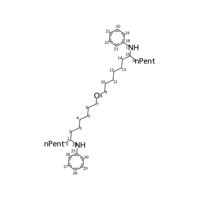 CCCCCC(CCCCCCOCCCCCCC(CCCCC)Nc1ccccc1)Nc1ccccc1